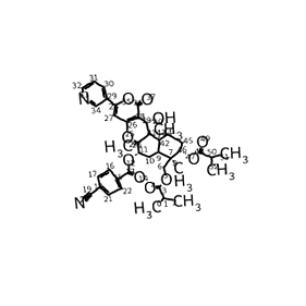 CC(C)C(=O)OC[C@@]1(C)C2C[C@H](OC(=O)c3ccc(C#N)cc3)[C@@]3(C)Oc4cc(-c5cccnc5)oc(=O)c4[C@H](O)C3[C@@]2(C)CC[C@@H]1OC(=O)C(C)C